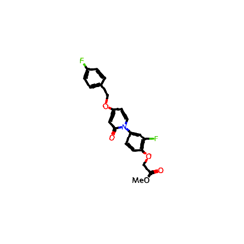 COC(=O)COc1ccc(-n2ccc(OCc3ccc(F)cc3)cc2=O)cc1F